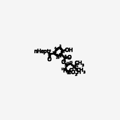 CCCCCCCC(=O)c1ccc(O)c(C(=O)O[C@H](CC(=O)O)C[N+](C)(C)C)c1